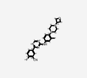 Cc1cc(Nc2ncnc(-c3ccc(F)c(C#N)c3)n2)ccc1N1CCN(C2COC2)CC1